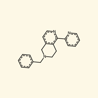 c1ccc(CN2CCc3c(ccnc3-c3ccccn3)C2)cc1